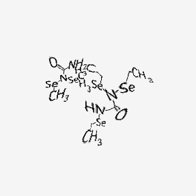 CC[Se]NC(=O)N([Se]CC)[Se]CC.C[Se]N([Se]C)C(N)=O